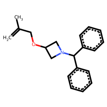 C=C(C)COC1CN(C(c2ccccc2)c2ccccc2)C1